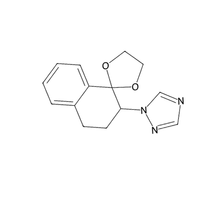 c1ccc2c(c1)CCC(n1cncn1)C21OCCO1